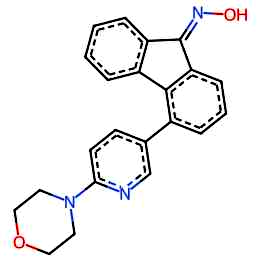 ON=C1c2ccccc2-c2c1cccc2-c1ccc(N2CCOCC2)nc1